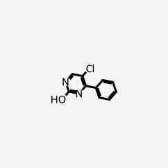 Oc1ncc(Cl)c(-c2ccccc2)n1